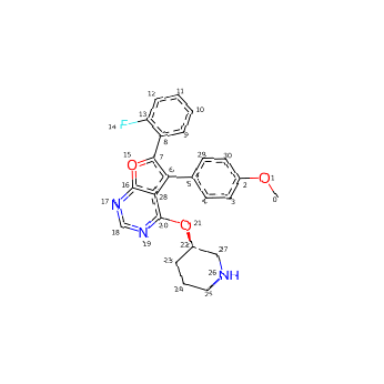 COc1ccc(-c2c(-c3ccccc3F)oc3ncnc(O[C@@H]4CCCNC4)c23)cc1